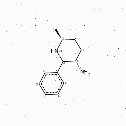 C[C@H]1CC[C@H](N)C(c2ccccc2)N1